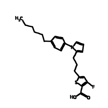 CCCCCCc1ccc(-n2cccc2CCCc2cc(F)c(C(=O)O)s2)cc1